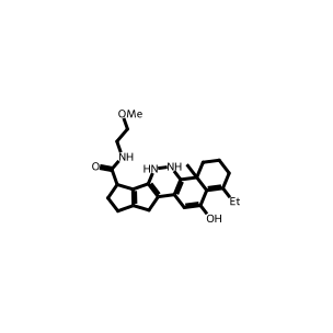 CCC1=C2C(O)=CC3=C(NNC4=C3CC3=C4C(C(=O)NCCOC)CC3)C2(C)CCC1